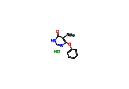 CNc1c(Oc2ccccc2)nc[nH]c1=O.Cl